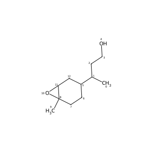 CC(CCO)C1CCC2(C)OC2C1